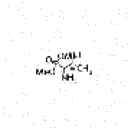 COP(=O)(OC)C(N)[C@@H](C)O